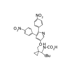 CC(C)(C)C(NC(=O)O)C1(COc2cnc(-c3ccc([N+](=O)[O-])cc3)c(-c3ccc([N+](=O)[O-])cc3)c2)CC1